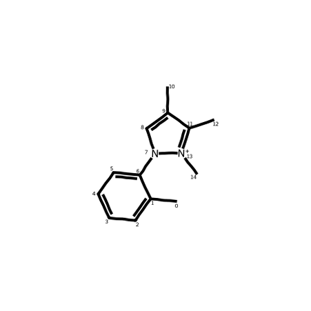 Cc1ccccc1-n1cc(C)c(C)[n+]1C